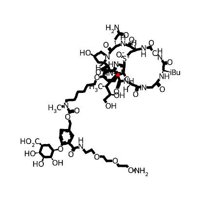 CC[C@H](C)[C@@H]1NC(=O)CNC(=O)[C@@H]2Cc3c([nH]c4cc(OCCCCCCN(C)C(=O)OCc5ccc(O[C@@H]6C[C@H](C(=O)O)[C@@H](O)[C@H](O)[C@H]6O)c(C(=O)NCCOCCOCCON)c5)ccc34)[S+]([O-])C[C@H](NC(=O)CNC1=O)C(=O)N[C@@H](CC(N)=O)C(=O)N1C[C@H](O)C[C@H]1C(=O)N[C@@H]([C@@H](C)[C@@H](O)CO)C(=O)N2